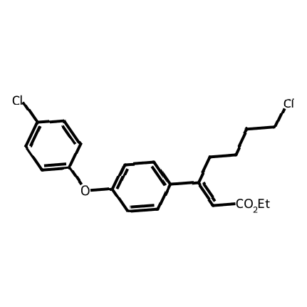 CCOC(=O)C=C(CCCCCl)c1ccc(Oc2ccc(Cl)cc2)cc1